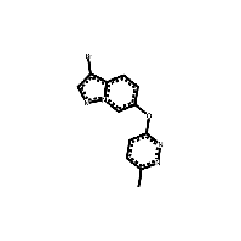 Cc1ccc(Oc2ccc3c(Br)cnn3c2)nn1